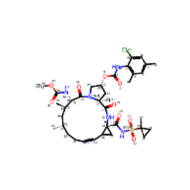 Cc1cc(C)c(NC(=O)O[C@@H]2C[C@H]3C(=O)N[C@]4(C(=O)NS(=O)(=O)C5(C)CC5)CC4/C=C\CC[C@H](C)C[C@@H](C)[C@H](NC(=O)OC(C)(C)C)C(=O)N3C2)c(Cl)c1